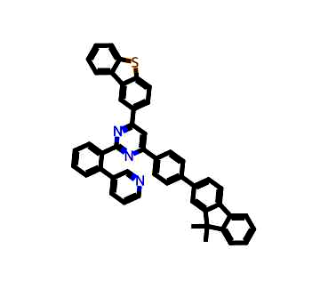 CC1(C)c2ccccc2-c2ccc(-c3ccc(-c4cc(-c5ccc6sc7ccccc7c6c5)nc(-c5ccccc5-c5cccnc5)n4)cc3)cc21